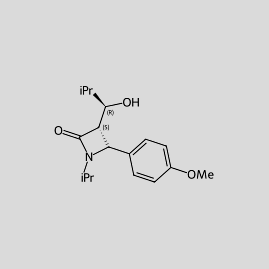 COc1ccc(C2[C@@H]([C@H](O)C(C)C)C(=O)N2C(C)C)cc1